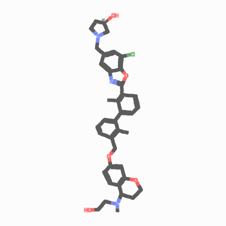 Cc1c(COc2ccc3c(c2)OCCC3N(C)CCO)cccc1-c1cccc(-c2nc3cc(CN4CC[C@@H](O)C4)cc(Cl)c3o2)c1C